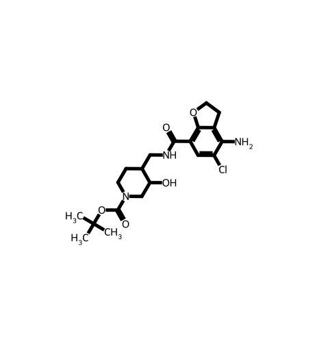 CC(C)(C)OC(=O)N1CCC(CNC(=O)c2cc(Cl)c(N)c3c2OCC3)C(O)C1